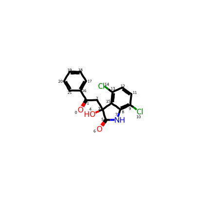 O=C(CC1(O)C(=O)Nc2c(Cl)ccc(Cl)c21)c1ccccc1